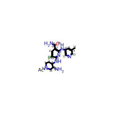 CC(=O)N1CCC(Nc2nc(Nc3cncc(C)c3)c(C(N)=O)cc2F)[C@@H](N)C1